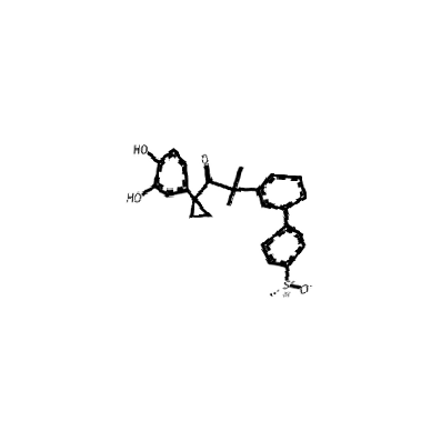 C[S@@+]([O-])c1ccc(-c2cccc(C(C)(C)C(=O)C3(c4ccc(O)c(O)c4)CC3)c2)cc1